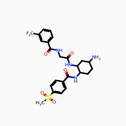 CS(=O)(=O)c1ccc(C(=O)NC2CCC(N)CC2NC(=O)CNC(=O)c2cccc(C(F)(F)F)c2)cc1